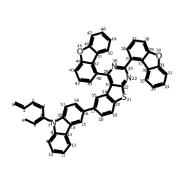 C=C/C=C\C(=C/C)n1c2ccccc2c2cc(-c3ccc4sc5nc(-c6cccc7oc8ccccc8c67)nc(-c6cccc7oc8ccccc8c67)c5c4c3)ccc21